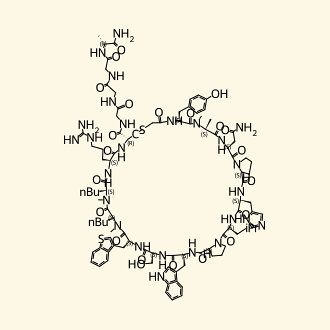 CCCC[C@H]1C(=O)N(C)[C@@H](CCCC)C(=O)N[C@@H](CCCNC(=N)N)C(=O)N[C@H](C(=O)NCC(=O)NCC(=O)NCC(=O)N[C@H](C)C(N)=O)CSCC(=O)N[C@@H](Cc2ccc(O)cc2)C(=O)N(C)[C@@H](C)C(=O)N[C@@H](CC(N)=O)C(=O)N2CCC[C@H]2C(=O)N[C@@H](Cc2cnc[nH]2)C(=O)N[C@@H](CC(C)C)C(=O)N2CCC[C@H]2C(=O)N[C@@H](Cc2c[nH]c3ccccc23)C(=O)N[C@@H](CO)C(=O)N[C@@H](Cc2csc3ccccc23)C(=O)N1C